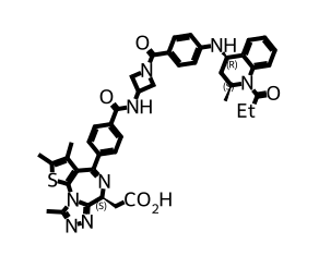 CCC(=O)N1c2ccccc2[C@H](Nc2ccc(C(=O)N3CC(NC(=O)c4ccc(C5=N[C@@H](CC(=O)O)c6nnc(C)n6-c6sc(C)c(C)c65)cc4)C3)cc2)C[C@@H]1C